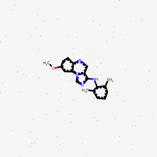 COc1ccc2ncc3c(Nc4c(C)cccc4C)ncn3c2c1